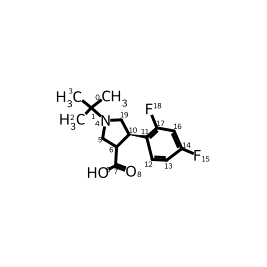 CC(C)(C)N1CC(C(=O)O)[C@H](c2ccc(F)cc2F)C1